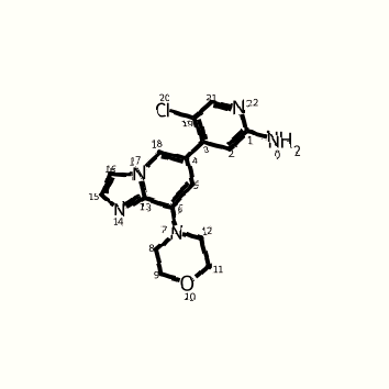 Nc1cc(-c2cc(N3CCOCC3)c3nccn3c2)c(Cl)cn1